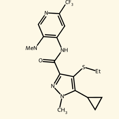 CCSc1c(C(=O)Nc2cc(C(F)(F)F)ncc2NC)nn(C)c1C1CC1